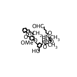 C=Nc1cc(OCc2cc(CO)cc(NC(=O)C(C)NC(=O)[C@H](C)NC(=O)CCCCC=O)c2)c(OC)cc1C(=O)N1CCc2ccccc21